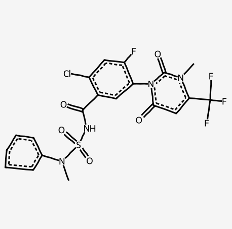 CN(c1ccccc1)S(=O)(=O)NC(=O)c1cc(-n2c(=O)cc(C(F)(F)F)n(C)c2=O)c(F)cc1Cl